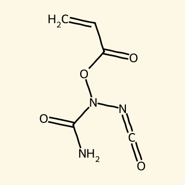 C=CC(=O)ON(N=C=O)C(N)=O